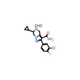 NC(=O)c1c(-c2ccc(F)c(Cl)c2)nn2c1CN(C=O)C(C1CC1)C2